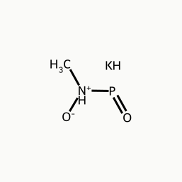 C[NH+]([O-])P=O.[KH]